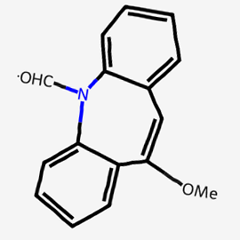 COC1=Cc2ccccc2N([C]=O)c2ccccc21